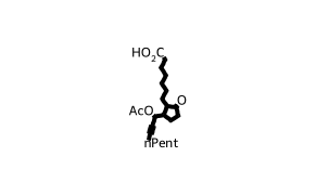 CCCCCC#CC(OC(C)=O)C1CCC(=O)C1CCCCCCC(=O)O